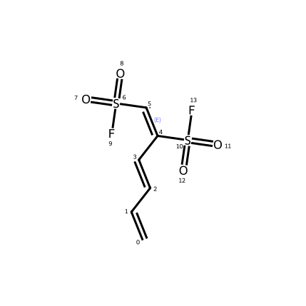 C=CC=C/C(=[C]\S(=O)(=O)F)S(=O)(=O)F